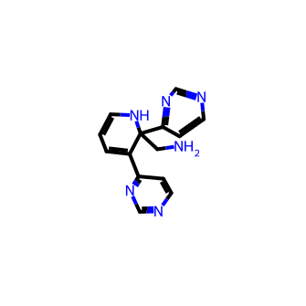 NCC1(c2ccncn2)NC=CC=C1c1ccncn1